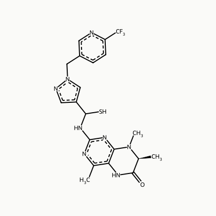 Cc1nc(NC(S)c2cnn(Cc3ccc(C(F)(F)F)nc3)c2)nc2c1NC(=O)[C@H](C)N2C